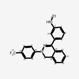 CCNc1cccc(C2=NN(c3ccc(C(F)(F)F)cc3)Cc3ccccc32)c1